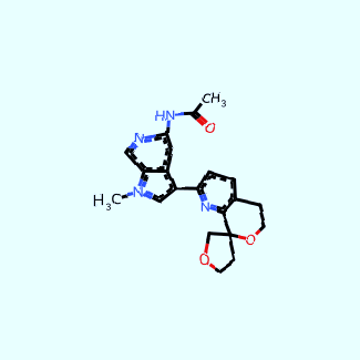 CC(=O)Nc1cc2c(-c3ccc4c(n3)C3(CCOC3)OCC4)cn(C)c2cn1